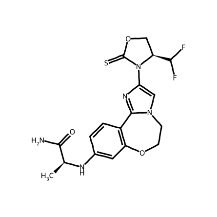 C[C@H](Nc1ccc2c(c1)OCCn1cc(N3C(=S)OC[C@H]3C(F)F)nc1-2)C(N)=O